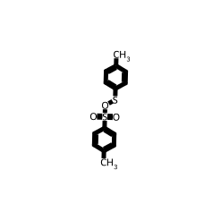 Cc1ccc(SOS(=O)(=O)c2ccc(C)cc2)cc1